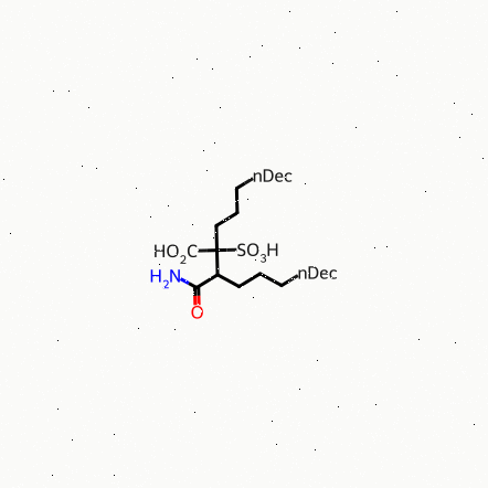 CCCCCCCCCCCCCC(C(N)=O)C(CCCCCCCCCCCCC)(C(=O)O)S(=O)(=O)O